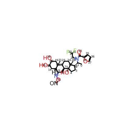 CC([C@H]1CC[C@@]2(O)C3=C/C(=N\ON=O)[C@@H]4C[C@@H](O)[C@@H](O)C[C@]4(C)C3CC[C@]12C)N(CC(F)F)C(=O)c1ccco1